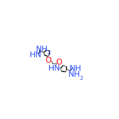 N=C(N)c1ccc(NC(=O)CCOc2cccc(C(=N)N)c2)cc1